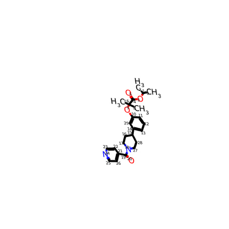 CC(C)OC(=O)C(C)(C)Oc1cccc(C2CCN(C(=O)c3ccncc3)CC2)c1